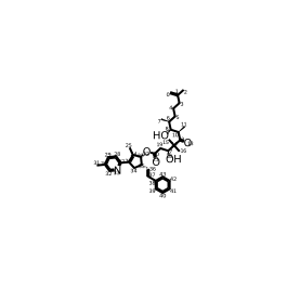 C=C(C)CCC[C@H](C)[C@H](O)[C@@H](C)C(=O)C(C)(C)[C@@H](O)CC(=O)O[C@@H]1C(C)=C(c2ccc(C)cn2)C[C@H]1/C=C/c1ccccc1